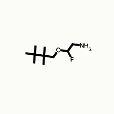 CC(C)(C)C(C)(C)COC(F)CN